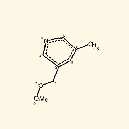 COOCc1cncc(C)c1